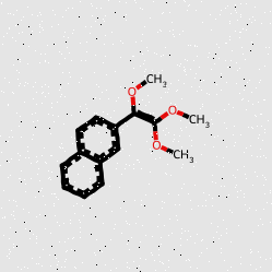 COC(OC)=C(OC)c1ccc2ccccc2c1